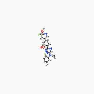 CC[C@@H]1CC[C@H](F)[C@H](N(c2cnc(-c3ccc(-c4cnc(OC)c(F)c4)cc3O)nn2)C2CC2)C1